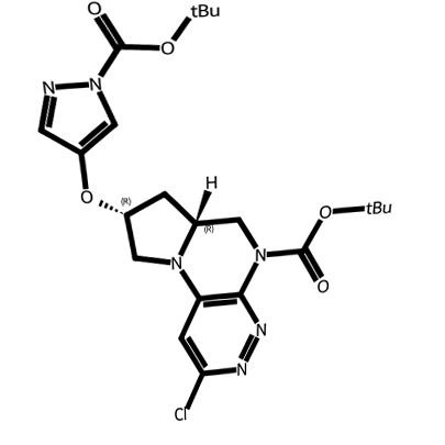 CC(C)(C)OC(=O)N1C[C@H]2C[C@@H](Oc3cnn(C(=O)OC(C)(C)C)c3)CN2c2cc(Cl)nnc21